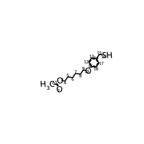 CC(=O)OCCCCCCOc1ccc(CS)cc1